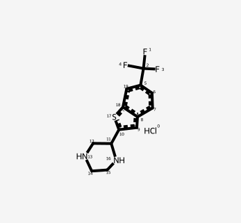 Cl.FC(F)(F)c1ccc2cc(C3CNCCN3)sc2c1